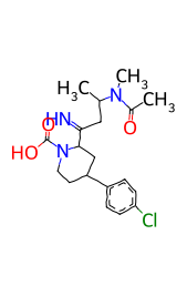 CC(=O)N(C)C(C)CC(=N)C1CC(c2ccc(Cl)cc2)CCN1C(=O)O